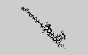 COCCCC(CS(=O)(=O)c1ccc(C(F)(F)F)c(C(=O)NCCOCCOCCOCCN=[N+]=[N-])c1)OC(=O)ON1C(=O)CCC1=O